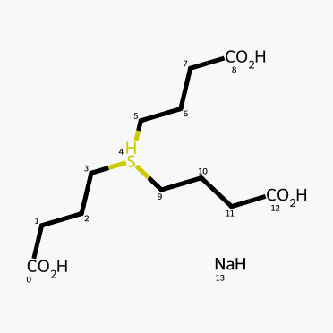 O=C(O)CCC[SH](CCCC(=O)O)CCCC(=O)O.[NaH]